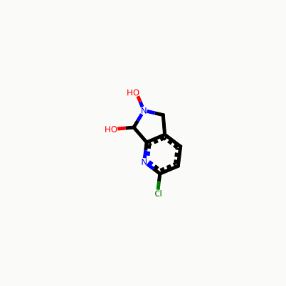 OC1c2nc(Cl)ccc2CN1O